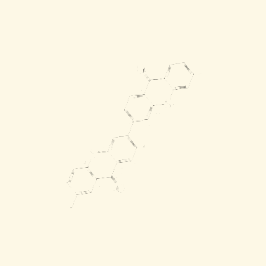 Cc1ccc2sc3cc(-c4ccc5c(=O)c6ccccc6sc5c4)ccc3c(=O)c2c1